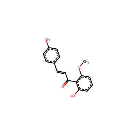 COc1cccc(O)c1C(=O)C=Cc1ccc(O)cc1